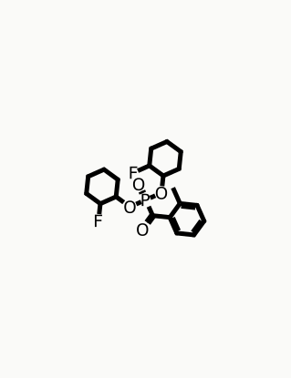 Cc1ccccc1C(=O)P(=O)(OC1CCCCC1F)OC1CCCCC1F